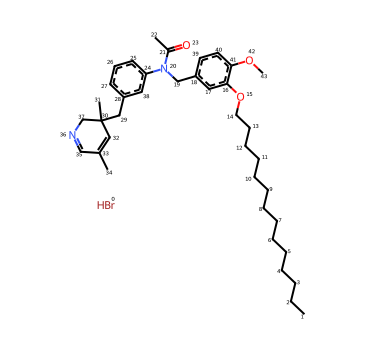 Br.CCCCCCCCCCCCCCOc1cc(CN(C(C)=O)c2cccc(CC3(C)C=C(C)C=NC3)c2)ccc1OC